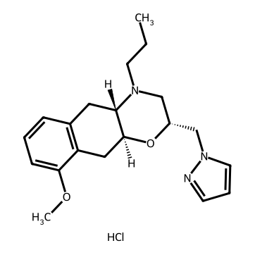 CCCN1C[C@H](Cn2cccn2)O[C@H]2Cc3c(cccc3OC)C[C@@H]21.Cl